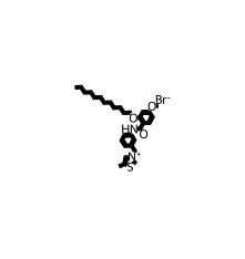 CCCCCCCCCCCCOc1cc(OC)ccc1C(=O)Nc1cccc(C[n+]2csc(C)c2)c1.[Br-]